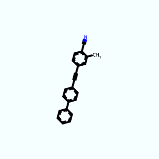 Cc1cc(C#Cc2ccc(-c3ccccc3)cc2)ccc1C#N